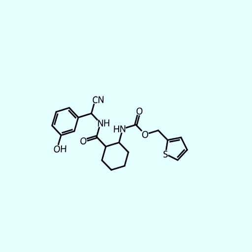 N#CC(NC(=O)C1CCCCC1NC(=O)OCc1cccs1)c1cccc(O)c1